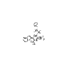 Nc1nc(-c2ncco2)c(-c2ccc3ncccc3c2)nc1C(=O)NCc1cccs1